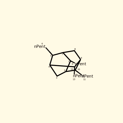 CCCCCC1C2CC3C(CCCCC)C1CC(C2CCCCC)C3CCCCC